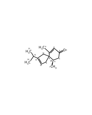 CC1=CC(=O)C[C@@H](C)C12CC=C(C(C)C)C2